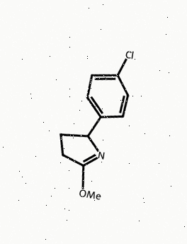 COC1=NC(c2ccc(Cl)cc2)CC1